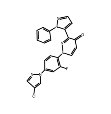 O=c1ccn(-c2ccc(-n3cc(Cl)cn3)cc2F)nc1-c1ccnn1-c1ccccc1